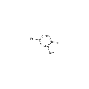 CCCn1cc(C(C)C)ccc1=O